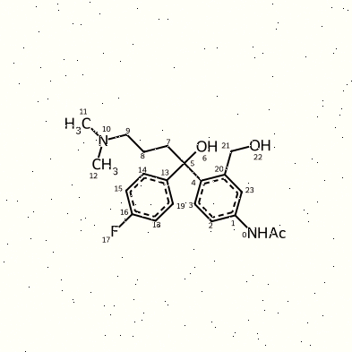 CC(=O)Nc1ccc(C(O)(CCCN(C)C)c2ccc(F)cc2)c(CO)c1